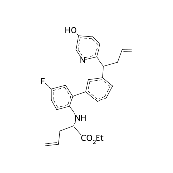 C=CCC(Nc1ccc(F)cc1-c1cccc(C(CC=C)c2ccc(O)cn2)c1)C(=O)OCC